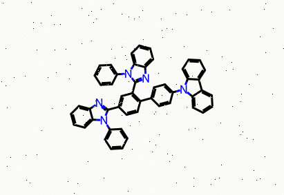 c1ccc(-n2c(-c3ccc(-c4ccc(-n5c6ccccc6c6ccccc65)cc4)c(-c4nc5ccccc5n4-c4ccccc4)c3)nc3ccccc32)cc1